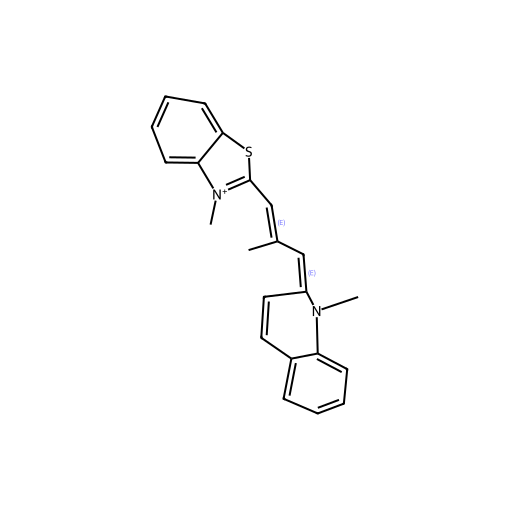 CC(=C\c1sc2ccccc2[n+]1C)/C=C1\C=Cc2ccccc2N1C